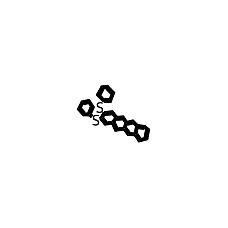 c1ccc(Sc2cc3cc4cc5ccccc5cc4cc3cc2Sc2ccccc2)cc1